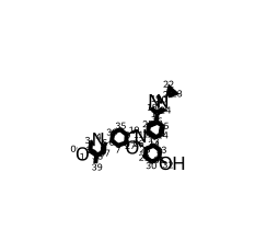 COc1cnc([C@H]2CC[C@H](CN(c3cccc(-c4cnn(C5CC5)c4)c3)C(=O)[C@H]3CC[C@H](O)CC3)CC2)cc1C